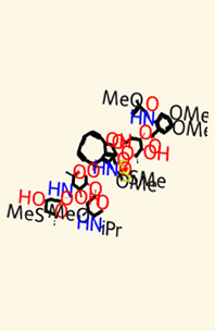 C=C(OC)C(=O)Nc1cc(OC)c(OC)cc1C(=O)O[C@H]1CC(O[C@@H]2C(=O)C(NC(=O)OC)=C3/C(=C\CSSSC)[C@]2(O)C#C/C=C\C#C[C@@H]3O[C@@H]2O[C@H](C)[C@@H](NO[C@H]3C[C@H](O)[C@H](SC)[C@@H](C)O3)[C@H](O)[C@@H]2O[C@H]2C[C@H](OC)[C@@H](NC(C)C)CO2)O[C@@H](C)[C@@H]1O